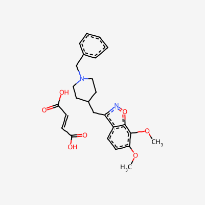 COc1ccc2c(CC3CCN(Cc4ccccc4)CC3)noc2c1OC.O=C(O)/C=C/C(=O)O